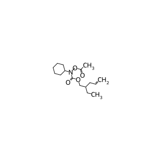 C=CCC(CC)COC(=O)N(OC(C)=O)C1CCCCC1